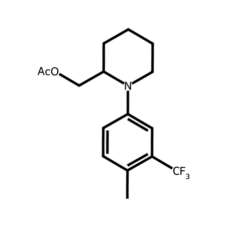 CC(=O)OCC1CCCCN1c1ccc(C)c(C(F)(F)F)c1